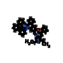 CCc1cc2c(cc(-c3ccccc3)c(=O)n2Cc2ccc(-c3ccccc3-c3nnn(C(c4ccccc4)(c4ccccc4)c4ccccc4)n3)cc2)c(CC)n1